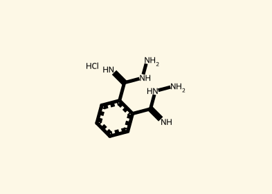 Cl.N=C(NN)c1ccccc1C(=N)NN